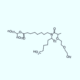 CCCCCCCCC(CCCCCCCC)OC(=O)CCCCCCCN(C(=O)C(C)OCCOCCO)C(CC)CCCCC(=O)O